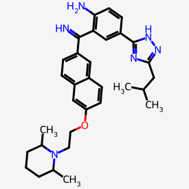 CC(C)Cc1n[nH]c(-c2ccc(N)c(C(=N)c3ccc4cc(OCCN5C(C)CCCC5C)ccc4c3)c2)n1